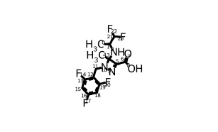 CC(NC1(C)C(C(=O)O)=NN1Cc1c(F)cc(F)cc1F)C(F)F